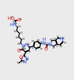 Cc1nnc(-c2cc(-c3ccc(NC(=O)N4Cc5ccncc5C4)cc3)nn(CCCCCCNC(=O)O)c2=O)o1